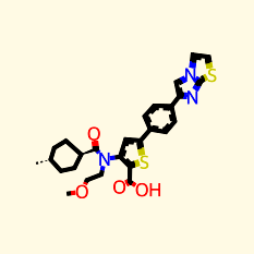 COCCN(c1cc(-c2ccc(-c3cn4ccsc4n3)cc2)sc1C(=O)O)C(=O)[C@H]1CC[C@H](C)CC1